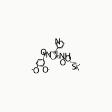 COc1ccc(C(=O)N2CC[C@@H](NC(=O)OCC[Si](C)(C)C)[C@H](c3cccnc3)C2)cc1OC